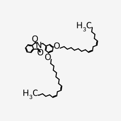 CCCCC/C=C\C/C=C\CCCCCCCCOc1cc(CN2C(=O)c3ccccc3C2=O)cc(OCCCCCCCC/C=C\C/C=C\CCCCC)c1